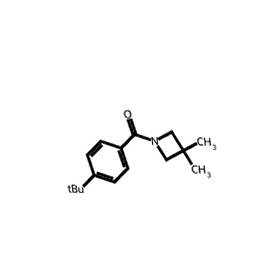 CC1(C)CN(C(=O)c2ccc(C(C)(C)C)cc2)C1